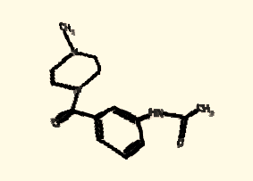 CC(=O)Nc1cccc(C(=O)N2CCN(C)CC2)c1